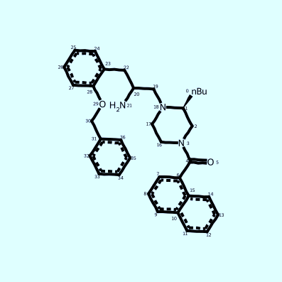 CCCC[C@H]1CN(C(=O)c2cccc3ccccc23)CCN1CC(N)Cc1ccccc1OCc1ccccc1